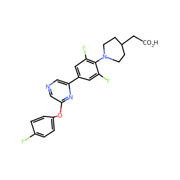 O=C(O)CC1CCN(c2c(F)cc(-c3cncc(Oc4ccc(F)cc4)n3)cc2F)CC1